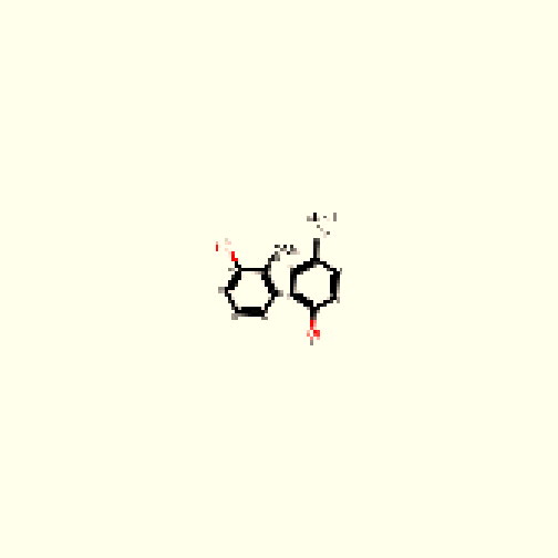 CC(C)c1ccc(O)cc1.COc1ccccc1O.[NaH]